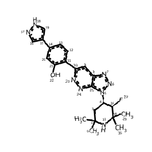 CC1(C)C[C@@H](n2nnc3cc(-c4ccc(-c5cn[nH]c5)cc4O)nnc32)[C@@H](F)C(C)(C)N1